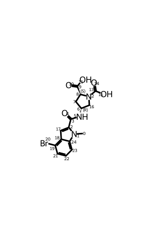 Cn1c(C(=O)N[C@@H]2C[C@@H](C(=O)O)N(C(=O)O)C2)cc2c(Br)cccc21